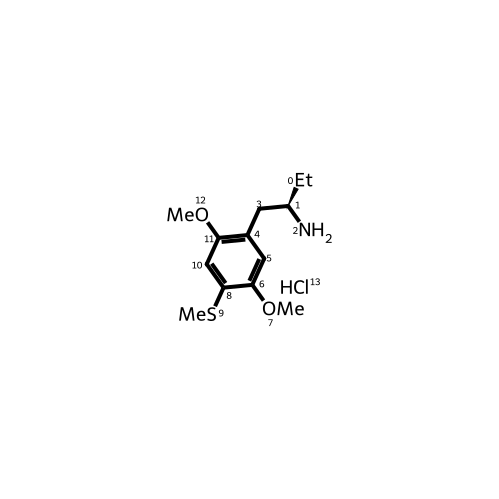 CC[C@@H](N)Cc1cc(OC)c(SC)cc1OC.Cl